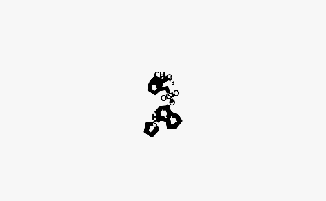 CC1(C)C2CCC1(CS(=O)(=O)Oc1ccc([SH]3C=CC=C3)c3ccccc13)C(=O)C2